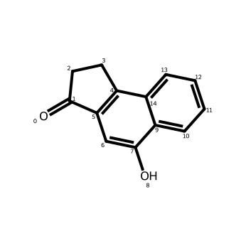 O=C1CCc2c1cc(O)c1ccccc21